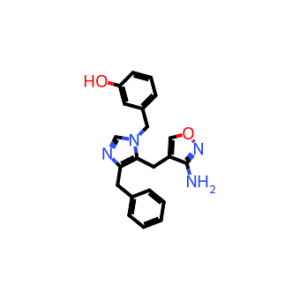 Nc1nocc1Cc1c(Cc2ccccc2)ncn1Cc1cccc(O)c1